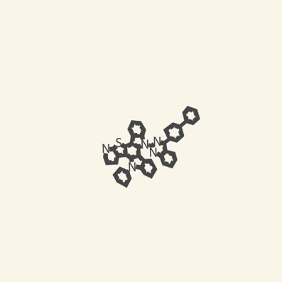 c1ccc(-c2ccc(-c3nc(-n4c5ccccc5c5c6sc7ncccc7c6c6c(c7ccccc7n6-c6ccccc6)c54)nc4ccccc34)cc2)cc1